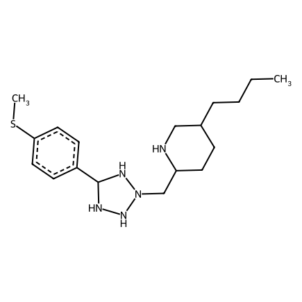 CCCCC1CCC(CN2NNC(c3ccc(SC)cc3)N2)NC1